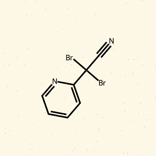 N#CC(Br)(Br)c1ccccn1